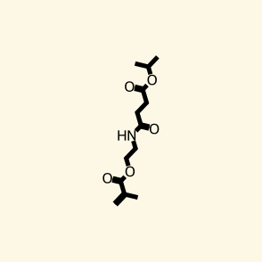 C=C(C)C(=O)OCCNC(=O)CCC(=O)OC(C)C